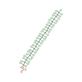 O=[SH](=O)OC(Cl)(Cl)C(Cl)(Cl)C(Cl)(Cl)C(Cl)(Cl)C(Cl)(Cl)C(Cl)(Cl)C(Cl)(Cl)C(Cl)(Cl)C(Cl)(Cl)C(Cl)(Cl)C(Cl)(Cl)C(Cl)(Cl)C(Cl)(Cl)C(Cl)(Cl)C(Cl)(Cl)C(Cl)(Cl)C(Cl)(Cl)C(Cl)(Cl)C(Cl)(Cl)C(Cl)(Cl)C(Cl)(Cl)C(Cl)(Cl)C(Cl)(Cl)C(Cl)(Cl)Cl